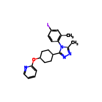 Cc1cc(I)ccc1-n1c(C)nnc1C1CCC(Oc2ccccn2)CC1